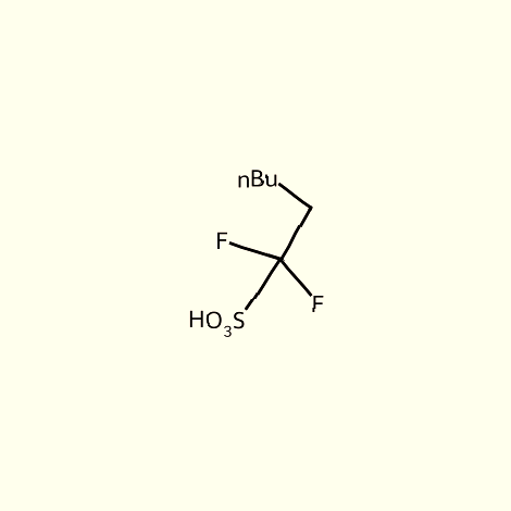 CCCCCC(F)(F)S(=O)(=O)O